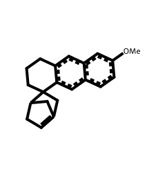 COc1ccc2cc3c(cc2c1)CCCC31CC2=CCC1C2